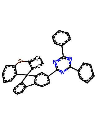 c1ccc(-c2nc(-c3ccccc3)nc(-c3ccc4c(c3)C3(c5ccccc5Sc5ccccc53)c3ccccc3-4)n2)cc1